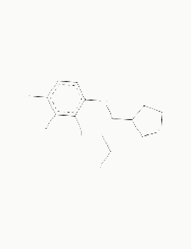 CCC[C@H](Oc1ccc(Cl)c(Cl)c1F)C1CCNC1